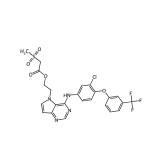 CS(=O)(=O)CC(=O)OCCn1ccc2ncnc(Nc3ccc(Oc4cccc(C(F)(F)F)c4)c(Cl)c3)c21